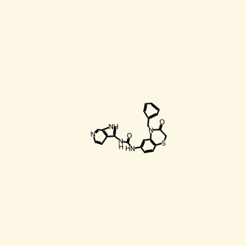 O=C(Nc1ccc2c(c1)N(Cc1ccccc1)C(=O)CS2)Nc1c[nH]c2cnccc12